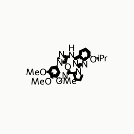 COc1cc(-n2cnc(Nc3nc(N4CCCC4C(N)=O)nc4c(OC(C)C)cccc34)c2)cc(OC)c1OC